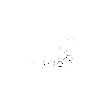 COc1ccc(C(=O)Nc2ccc(OC)c(C(F)(F)F)c2)cc1Nc1ncnc2cnc(NCCN(C)C)nc12